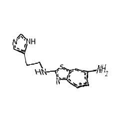 Nc1ccc2nc(NCCc3cnc[nH]3)sc2c1